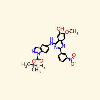 COc1cc2nc(-c3cccc([N+](=O)[O-])c3)nc(Nc3ccc4c(cnn4C(=O)OC(C)(C)C)c3)c2cc1O